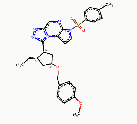 CC[C@@H]1C[C@H](OCc2ccc(OC)cc2)C[C@@H]1c1nnc2cnc3c(ccn3S(=O)(=O)c3ccc(C)cc3)n12